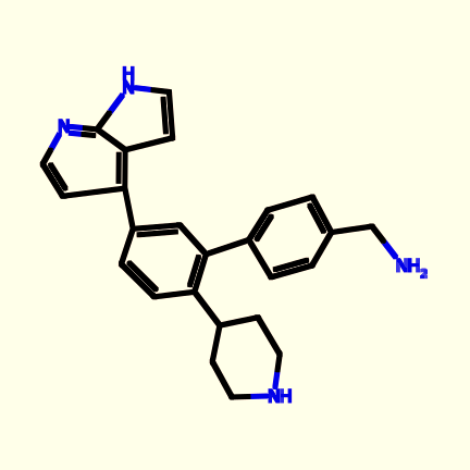 NCc1ccc(-c2cc(-c3ccnc4[nH]ccc34)ccc2C2CCNCC2)cc1